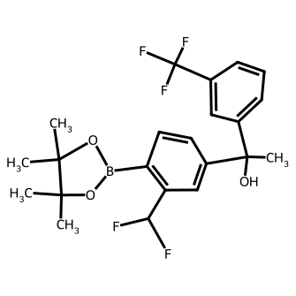 CC(O)(c1cccc(C(F)(F)F)c1)c1ccc(B2OC(C)(C)C(C)(C)O2)c(C(F)F)c1